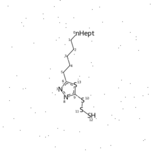 CCCCCCCCCCCCc1nnc(SSS)s1